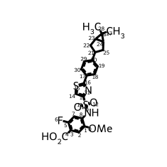 COc1cc(C(=O)O)c(F)cc1NS(=O)(=O)c1csc(-c2ccc(C3CC4C(C3)C4(C)C)cc2)n1